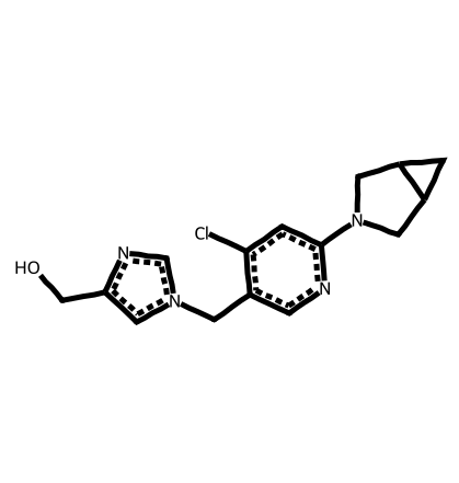 OCc1cn(Cc2cnc(N3CC4CC4C3)cc2Cl)cn1